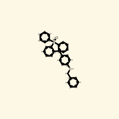 Cl[PH](c1ccccc1)(c1ccccc1)c1ccccc1Cc1ccc(OCc2ccccc2)cc1